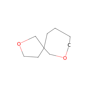 C1CCC2(CCOC2)COC1